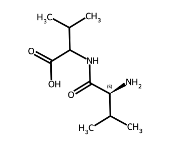 CC(C)C(NC(=O)[C@@H](N)C(C)C)C(=O)O